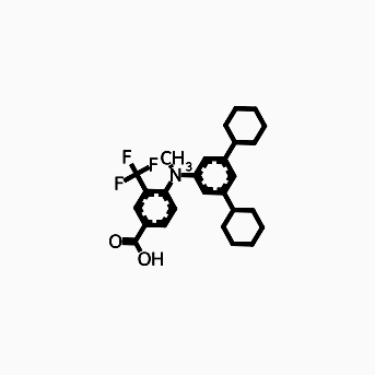 CN(c1cc(C2CCCCC2)cc(C2CCCCC2)c1)c1ccc(C(=O)O)cc1C(F)(F)F